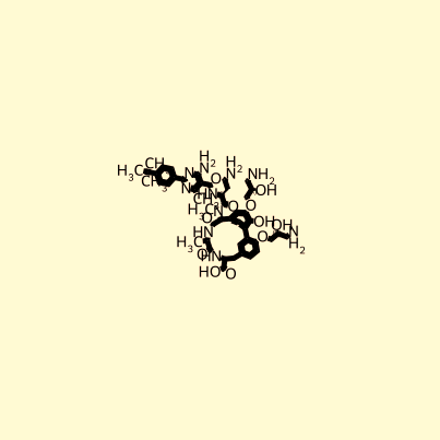 Cc1nc(-c2ccc(C(C)(C)C)cc2)nc(N)c1C(=O)N[C@@H](CCN)C(=O)N(C)C1C(=O)NC(C)C(=O)NC(C(=O)O)Cc2ccc(OC[C@H](O)CN)c(c2)-c2cc1cc(OC[C@H](O)CN)c2O